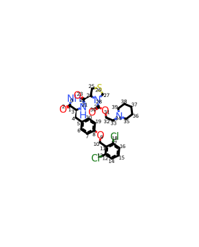 NC(=O)[C@H](Cc1ccc(OCc2c(Cl)cccc2Cl)cc1)NC(=O)[C@H]1CSCN1C(=O)OCCN1CCCCC1